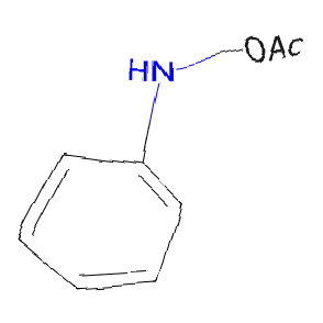 CC(=O)ONc1ccccc1